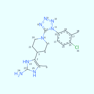 CC1=C(C2CCN(c3nnnn3-c3ccc(Cl)c(C)c3)CC2)NC(N)N1